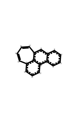 [c]1cccc2c1cc1c3c(cccc32)C=CC=C1